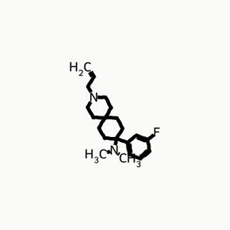 C=CCN1CCC2(CC1)CCC(c1cccc(F)c1)(N(C)C)CC2